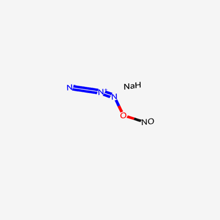 [N-]=[N+]=NON=O.[NaH]